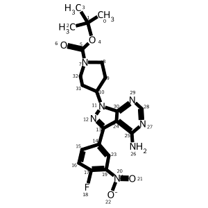 CC(C)(C)OC(=O)N1CCC(n2nc(-c3ccc(F)c([N+](=O)[O-])c3)c3c(N)ncnc32)CC1